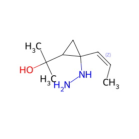 C/C=C\C1(NN)CC1C(C)(C)O